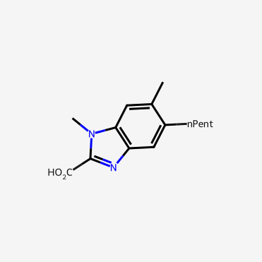 CCCCCc1cc2nc(C(=O)O)n(C)c2cc1C